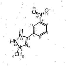 CN1N=C(c2cccc([N+](=O)[O-])c2)NN1